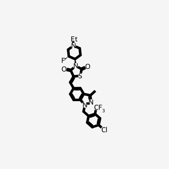 CCN1CC[C@@H](N2C(=O)SC(=Cc3ccc4c(c3)c(C)nn4Cc3ccc(Cl)cc3C(F)(F)F)C2=O)[C@H](F)C1